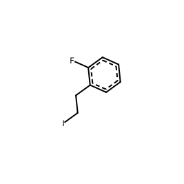 Fc1ccccc1CCI